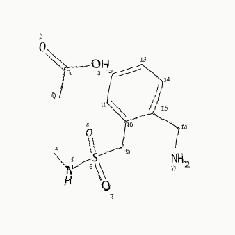 CC(=O)O.CNS(=O)(=O)Cc1ccccc1CN